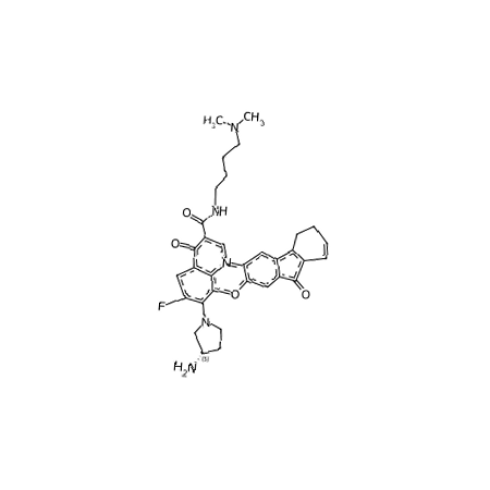 CN(C)CCCCNC(=O)c1cn2c3cc4c5c(c(=O)c4cc3oc3c(N4CC[C@H](N)C4)c(F)cc(c1=O)c32)C=CCC5